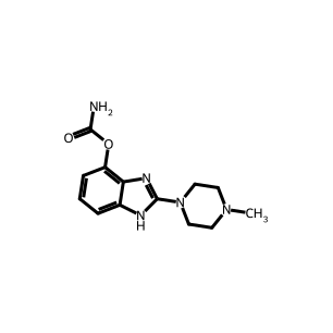 CN1CCN(c2nc3c(OC(N)=O)cccc3[nH]2)CC1